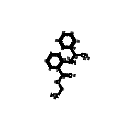 CCOC(=O)c1ccccc1NC(C)c1ccccc1